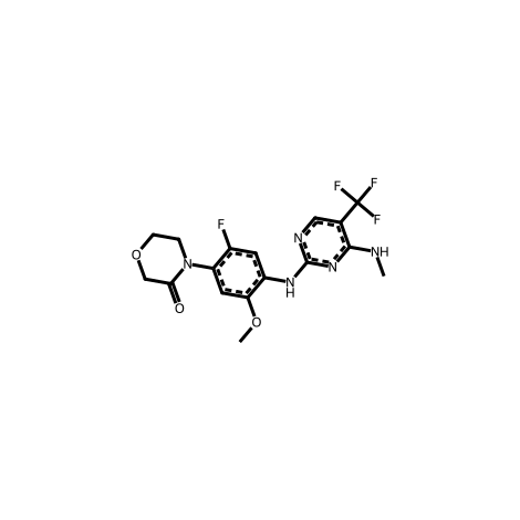 CNc1nc(Nc2cc(F)c(N3CCOCC3=O)cc2OC)ncc1C(F)(F)F